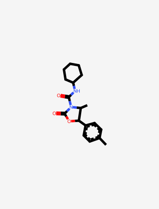 Cc1ccc(C2OC(=O)N(C(=O)NC3CCCCC3)C2C)cc1